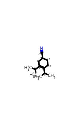 CC(C)C1=C(C(C)C)CC(C#N)CC1